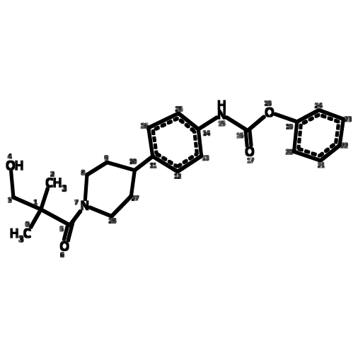 CC(C)(CO)C(=O)N1CCC(c2ccc(NC(=O)Oc3ccccc3)cc2)CC1